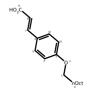 CCCCCCCCCOc1ccc(C=CC(=O)O)cc1